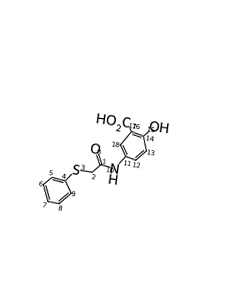 O=C(CSc1ccccc1)Nc1ccc(O)c(C(=O)O)c1